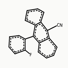 N#Cc1c2ccccc2c(-c2ccccc2F)c2ccccc12